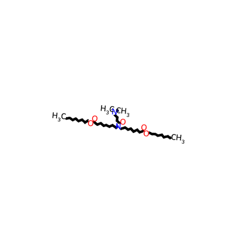 CCCCCCCCCOC(=O)CCCCCCCN(CCCCCCCC(=O)OCCCCCCCCC)C(=O)CCCN(C)C